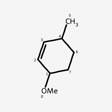 COC1C=CC(C)CC1